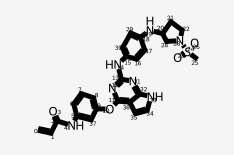 C=CC(=O)Nc1cccc(Oc2nc(Nc3ccc(NC4CCN(S(C)(=O)=O)C4)cc3)nc3[nH]ccc23)c1